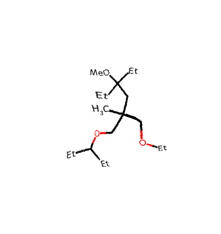 CCOCC(C)(COC(CC)CC)CC(CC)(CC)OC